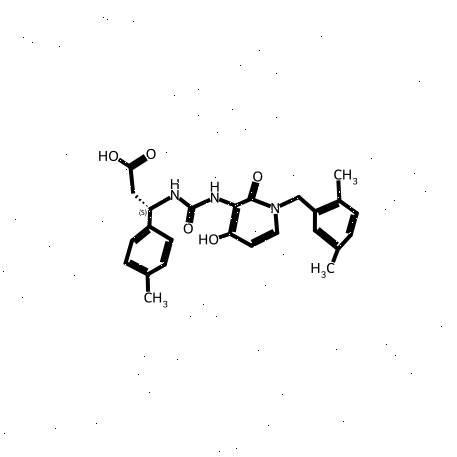 Cc1ccc([C@H](CC(=O)O)NC(=O)Nc2c(O)ccn(Cc3cc(C)ccc3C)c2=O)cc1